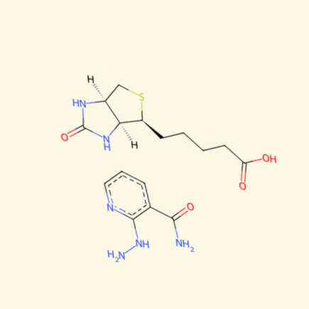 NNc1ncccc1C(N)=O.O=C(O)CCCC[C@@H]1SC[C@@H]2NC(=O)N[C@@H]21